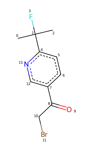 CC(C)(F)c1ccc(C(=O)CBr)cn1